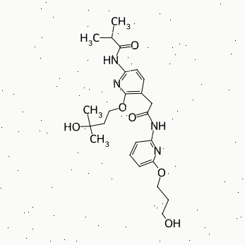 CC(C)C(=O)Nc1ccc(CC(=O)Nc2cccc(OCCCO)n2)c(OCCC(C)(C)O)n1